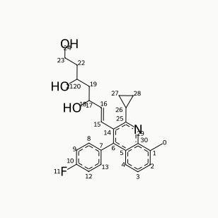 Cc1cccc2c(-c3ccc(F)cc3)c(/C=C/C(O)CC(O)CCO)c(C3CC3)nc12